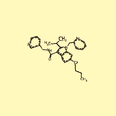 CCCOc1ccc2c(C(=O)NCc3cccnc3)c(C(C)C)n(Cc3ccccn3)c2c1